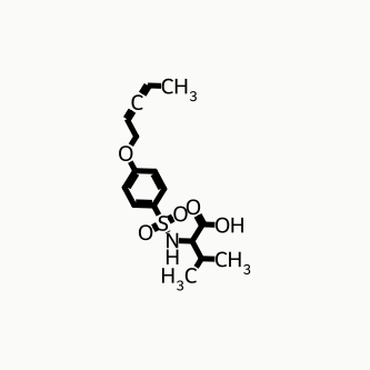 CC=C=CCOc1ccc(S(=O)(=O)NC(C(=O)O)C(C)C)cc1